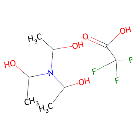 CC(O)N(C(C)O)C(C)O.O=C(O)C(F)(F)F